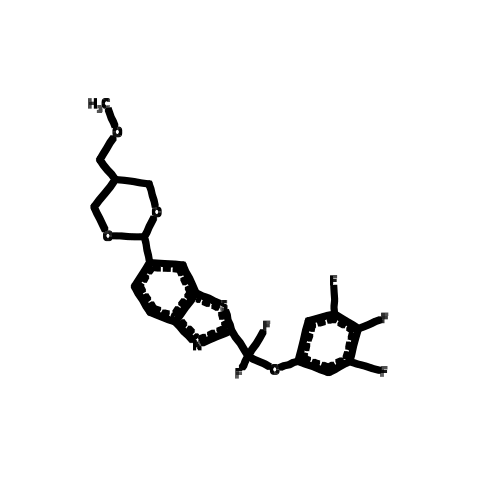 COCC1COC(c2ccc3nc(C(F)(F)Oc4cc(F)c(F)c(F)c4)sc3c2)OC1